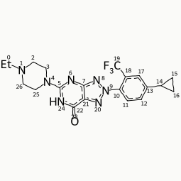 CCN1CCN(c2nc3nn(-c4ccc(C5CC5)cc4C(F)(F)F)nc3c(=O)[nH]2)CC1